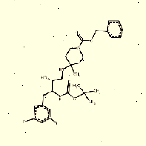 CC1(NC[C@@H](O)[C@H](Cc2cc(F)cc(F)c2)NC(=O)OC(C)(C)C)CCN(C(=O)OCc2ccccc2)CC1